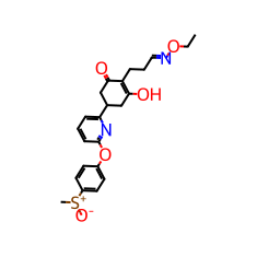 CCON=CCCC1=C(O)CC(c2cccc(Oc3ccc([S+](C)[O-])cc3)n2)CC1=O